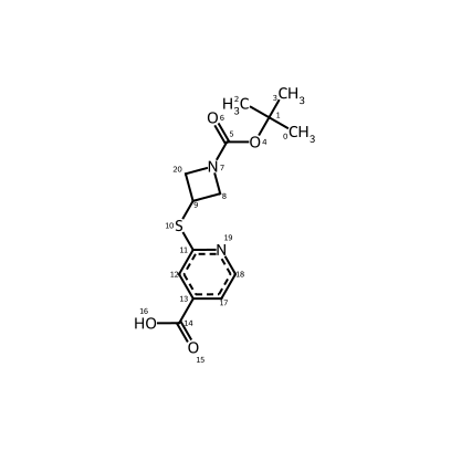 CC(C)(C)OC(=O)N1CC(Sc2cc(C(=O)O)ccn2)C1